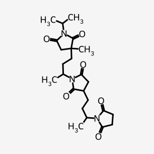 CC(C)N1C(=O)CC(C)(CCC(C)N2C(=O)CC(CCC(C)N3C(=O)CCC3=O)C2=O)C1=O